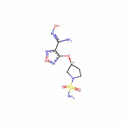 NC(=NO)c1nonc1O[C@H]1CCN(S(N)(=O)=O)C1